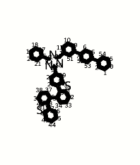 c1ccc(-c2ccc(-c3cccc(-c4nc(-c5ccccc5)nc(-c5ccc6c(c5)sc5cccc(-c7cccc8sc9ccccc9c78)c56)n4)c3)cc2)cc1